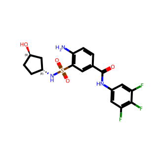 Nc1ccc(C(=O)Nc2cc(F)c(F)c(F)c2)cc1S(=O)(=O)N[C@@H]1CC[C@@H](O)C1